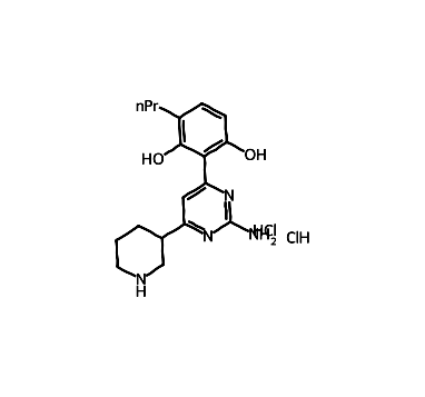 CCCc1ccc(O)c(-c2cc(C3CCCNC3)nc(N)n2)c1O.Cl.Cl